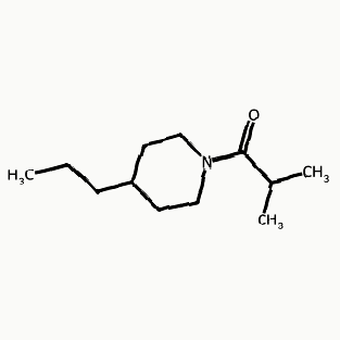 CCCC1CCN(C(=O)C(C)C)CC1